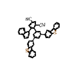 N#Cc1cc(C#N)c(-c2cc(-c3ccc4sc5ccccc5c4c3)cc(-c3ccc4sc5ccccc5c4c3)c2)c(-c2cccc3ccccc23)c1